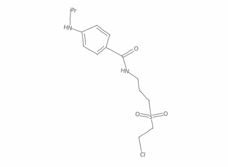 CC(C)Nc1ccc(C(=O)NCCCS(=O)(=O)CCCl)cc1